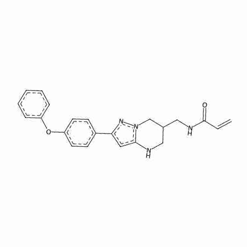 C=CC(=O)NCC1CNc2cc(-c3ccc(Oc4ccccc4)cc3)nn2C1